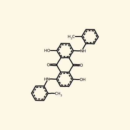 Cc1ccccc1Nc1ccc(O)c2c1C(=O)c1c(O)ccc(Nc3ccccc3C)c1C2=O